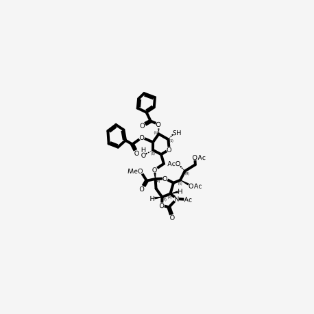 COC(=O)[C@@]1(OCC2O[C@@H](S)[C@@H](OC(=O)c3ccccc3)C(OC(=O)c3ccccc3)[C@H]2O)C[C@H]2OC(=O)N(C(C)=O)[C@H]2C([C@H](OC(C)=O)[C@@H](COC(C)=O)OC(C)=O)O1